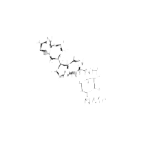 CN[C@H]1CC[C@H](Nc2ncc3c(-c4ccc5nccn5c4)ccn3n2)CC1